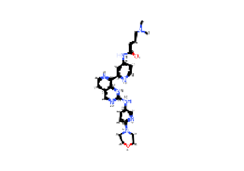 CN(C)C/C=C/C(=O)Nc1ccnc(-c2nccc3cnc(Nc4ccc(N5CCOCC5)nc4)nc23)c1